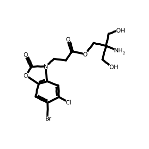 NC(CO)(CO)COC(=O)CCn1c(=O)oc2cc(Br)c(Cl)cc21